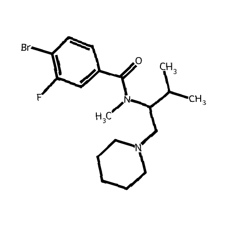 CC(C)C(CN1CCCCC1)N(C)C(=O)c1ccc(Br)c(F)c1